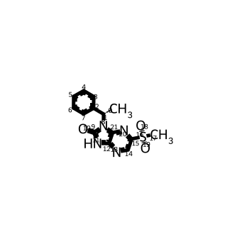 C[C@@H](c1ccccc1)n1c(=O)[nH]c2ncc(S(C)(=O)=O)nc21